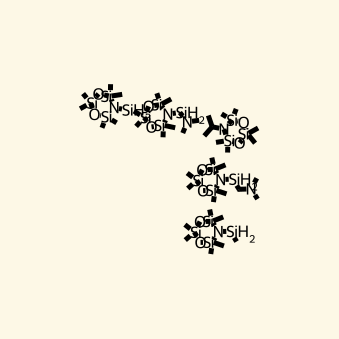 CC(C)N1[Si](C)(C)O[Si](C)(C)O[Si]1(C)C.CN(C)C[SiH2]N1[Si](C)(C)O[Si](C)(C)O[Si]1(C)C.CN(C)[SiH2]N1[Si](C)(C)O[Si](C)(C)O[Si]1(C)C.C[SiH2]N1[Si](C)(C)O[Si](C)(C)O[Si]1(C)C.C[Si]1(C)O[Si](C)(C)N([SiH3])[Si](C)(C)O1